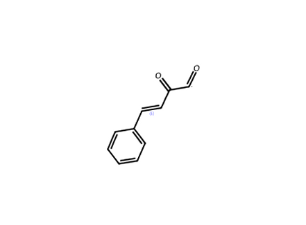 O=[C]C(=O)/C=C/c1ccccc1